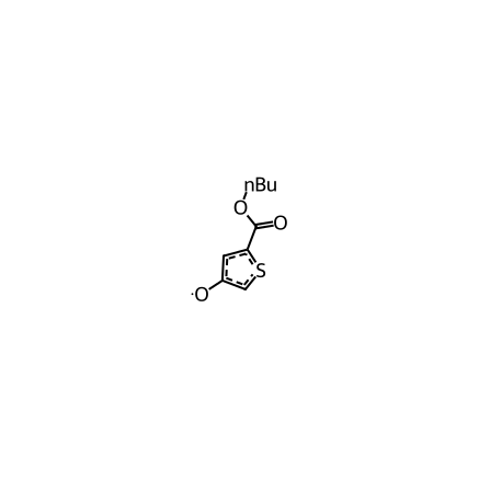 CCCCOC(=O)c1cc([O])cs1